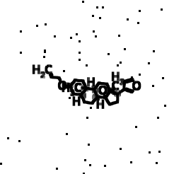 C=CCO[C@H]1CC[C@@]2(C)[C@H](CC[C@@H]3[C@@H]2CC[C@]2(C)[C@@H](c4ccoc4)CCC32O)C1